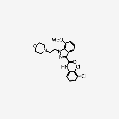 COc1cccc2c(C(=O)Nc3cccc(Cl)c3Cl)nn(CCN3CCOCC3)c12